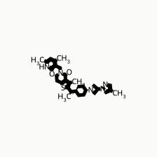 Cc1cnn(C2CN([C@H]3CC[C@H]([C@@H](C)c4sc5c(c4C)C(=O)N(Cc4c(C)cc(C)[nH]c4=O)CC5)CC3)C2)c1